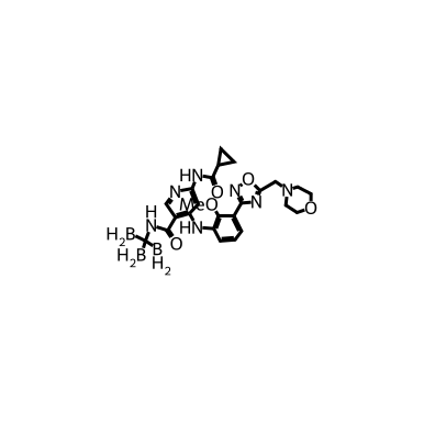 BC(B)(B)NC(=O)c1cnc(NC(=O)C2CC2)cc1Nc1cccc(-c2noc(CN3CCOCC3)n2)c1OC